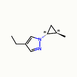 CCc1cnn([C@@H]2C[C@H]2C)c1